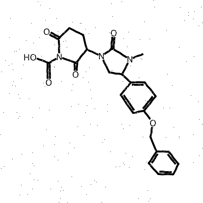 CN1C(=O)N(C2CCC(=O)N(C(=O)O)C2=O)CC1c1ccc(OCc2ccccc2)cc1